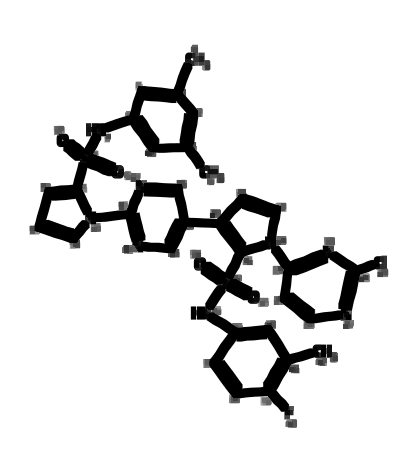 Cc1cc(C)cc(NS(=O)(=O)c2cccn2-c2ncc(-c3ccn(-c4ccnc(Cl)n4)c3S(=O)(=O)Nc3ccc(F)c(C)c3)cn2)c1